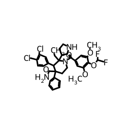 CCC1(C2CCNC2)C(c2ccc(Cl)c(Cl)c2)C(C(N)=O)(c2ccccc2)CCN1C(=O)c1cc(OC)c(OC(F)F)c(OC)c1